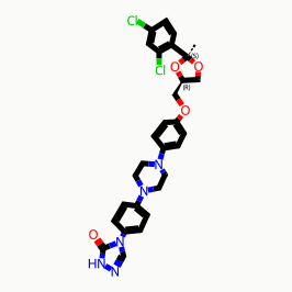 C[C@]1(c2ccc(Cl)cc2Cl)OC[C@@H](COc2ccc(N3CCN(c4ccc(-n5cn[nH]c5=O)cc4)CC3)cc2)O1